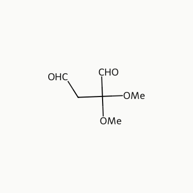 COC(C=O)(CC=O)OC